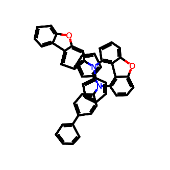 c1ccc(-c2ccc(N(c3ccccc3)c3cccc4oc5cccc(N(c6ccccc6)c6ccc7c(c6)oc6ccccc67)c5c34)cc2)cc1